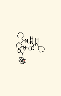 O=C(NC1CCCCC1)N[C@@H]1N=C(C2CCCCC2)c2ccccc2N(CC(=O)N2CC3CCC(CC3)C2)C1=O